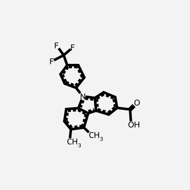 Cc1ccc2c(c1C)c1cc(C(=O)O)ccc1n2-c1ccc(C(F)(F)F)cc1